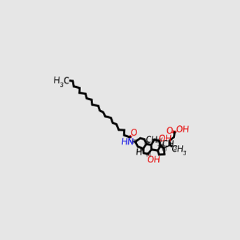 CCCCCCCCCCCCCCCCCCCC(=O)N[C@H]1CC[C@]2(C)C3C[C@H](O)[C@@]4(C)C(CC[C@@H]4C(C)CCC(=O)O)C3[C@H](O)C[C@@H]2C1